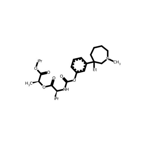 CCC1(c2cccc(OC(=O)N[C@H](C(=O)O[C@@H](C)C(=O)OC(C)C)C(C)C)c2)CCCCN(C)C1